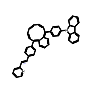 C1=CC2c3ccccc3N(c3ccc(-c4ccccccc(-c5ccc(/C=C/c6ccccn6)cc5)c5ccccc45)cc3)C2C=C1